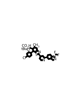 Cc1cc2nc(-c3ccnc(-c4ccc5c(cnn5C(F)F)c4)c3)sc2c(-c2ccc(Cl)cc2)c1[C@H](OC(C)(C)C)C(=O)O